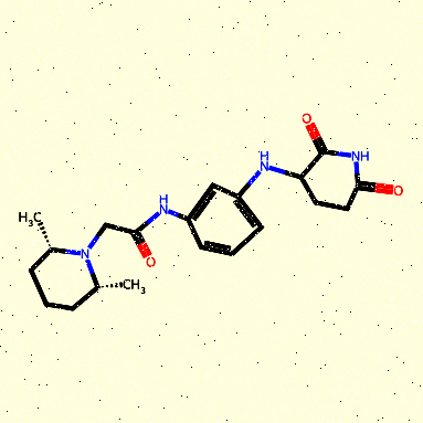 C[C@@H]1CCC[C@H](C)N1CC(=O)Nc1cccc(NC2CCC(=O)NC2=O)c1